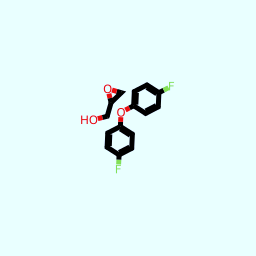 Fc1ccc(Oc2ccc(F)cc2)cc1.OCC1CO1